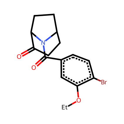 CCOc1cc(C(=O)N2C3CCC(=O)C2CC3)ccc1Br